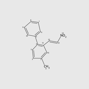 Cc1ccc(-c2ccccc2)c(C=C[N+](=O)[O-])c1